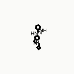 c1cc2c(cnn2CC2CCC2)cc1Nc1n[nH]c2c1CCCC2